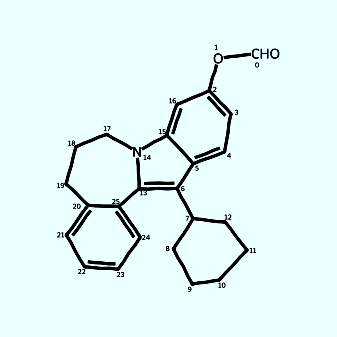 O=COc1ccc2c(C3CCCCC3)c3n(c2c1)CCCc1ccccc1-3